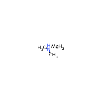 CNC.[MgH2]